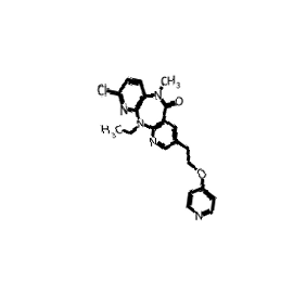 CCN1c2ncc(CCOc3ccncc3)cc2C(=O)N(C)c2ccc(Cl)nc21